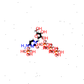 Nc1ccn(C[C@@H]2O[C@H](CO)[C@@H](O)[C@H]2O)c(=O)n1.O=P(O)(O)O.O=P(O)(O)O.O=P(O)(O)O.O=P(O)(O)O